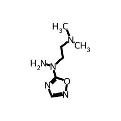 CN(C)CCN(N)c1ncno1